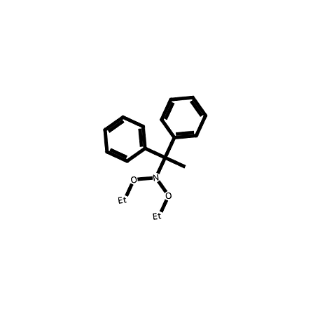 CCON(OCC)C(C)(c1ccccc1)c1ccccc1